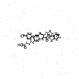 O=C(O)CCCCc1nc2cc(C(=O)N3CCCC34CCc3ccncc34)ccc2nc1-c1ccc(Cl)cc1